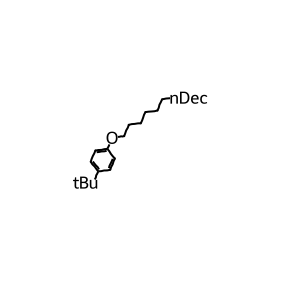 CCCCCCCCCCCCCCCCOc1ccc(C(C)(C)C)cc1